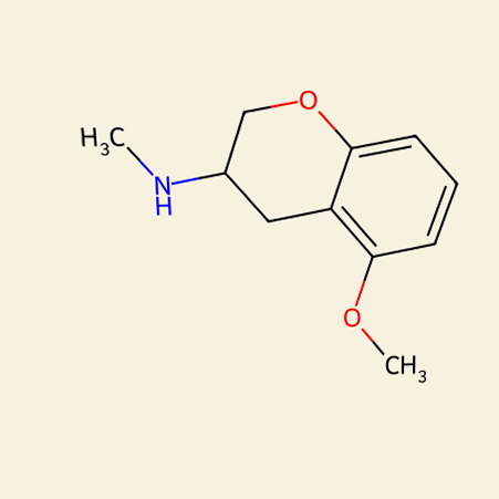 CNC1COc2cccc(OC)c2C1